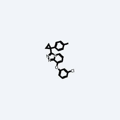 Cc1ccc(C2(c3nnc4c(Oc5cccc(Cl)c5)cccn34)CC2)cc1